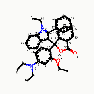 CCOc1cc(N(CC)CC)ccc1C1(c2c(-c3ccccc3)n(CC)c3ccccc23)OC(=O)c2ccccc21